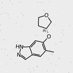 Cc1cc2cn[nH]c2cc1O[C@@H]1CCOC1